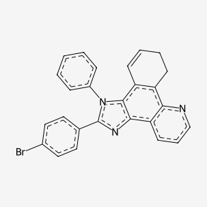 Brc1ccc(-c2nc3c4cccnc4c4c(c3n2-c2ccccc2)C=CCC4)cc1